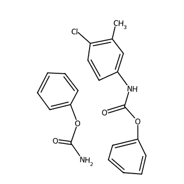 Cc1cc(NC(=O)Oc2ccccc2)ccc1Cl.NC(=O)Oc1ccccc1